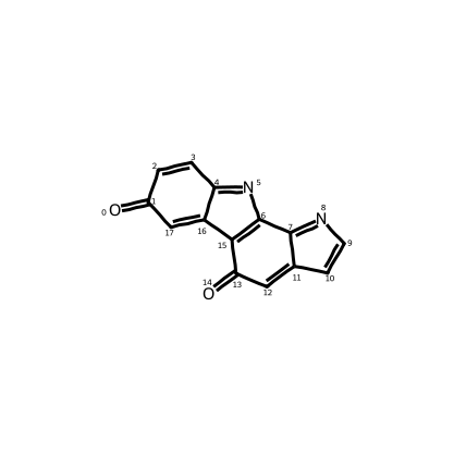 O=c1ccc2nc3c4nccc-4cc(=O)c=3c-2c1